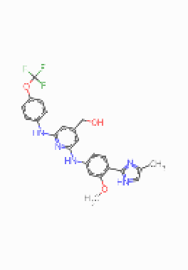 COc1cc(Nc2cc(CO)cc(Nc3ccc(OC(F)(F)F)cc3)n2)ccc1-c1nc(C)c[nH]1